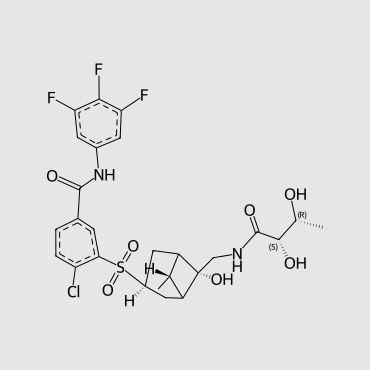 C[C@@H](O)[C@H](O)C(=O)NC[C@]1(O)C2C[C@H](S(=O)(=O)c3cc(C(=O)Nc4cc(F)c(F)c(F)c4)ccc3Cl)CC1[C@@H]2C